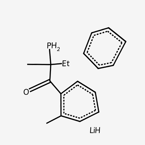 CCC(C)(P)C(=O)c1ccccc1C.[LiH].c1ccccc1